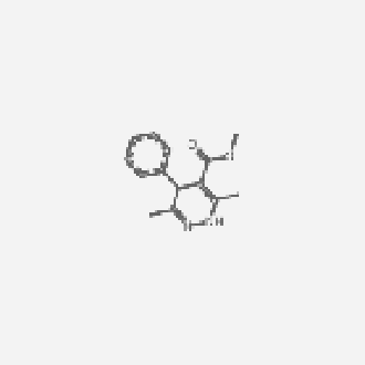 COC(=O)C1=C(C)NN=C(C)C1c1ccccc1